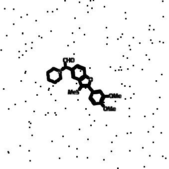 COc1ccc(-c2oc3ccc(C(C=O)N4CCCCC4)cc3c2SC)cc1OC